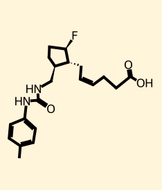 Cc1ccc(NC(=O)NC[C@H]2CC[C@@H](F)[C@@H]2C/C=C\CCC(=O)O)cc1